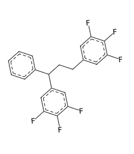 Fc1cc(CCC(c2ccccc2)c2cc(F)c(F)c(F)c2)cc(F)c1F